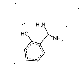 NC(N)c1ccccc1O